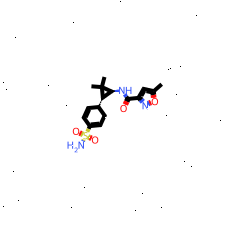 Cc1cc(C(=O)N[C@H]2[C@H](C3C=CC(S(N)(=O)=O)=CC3)C2(C)C)no1